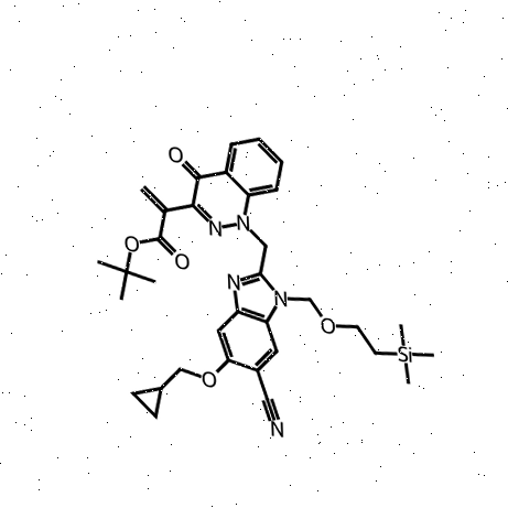 C=C(C(=O)OC(C)(C)C)c1nn(Cc2nc3cc(OCC4CC4)c(C#N)cc3n2COCC[Si](C)(C)C)c2ccccc2c1=O